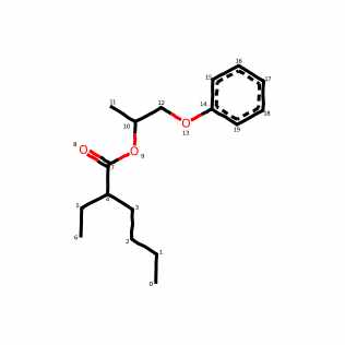 CCCCC(CC)C(=O)OC(C)COc1ccccc1